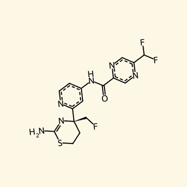 NC1=N[C@](CF)(c2cc(NC(=O)c3cnc(C(F)F)cn3)ccn2)CCS1